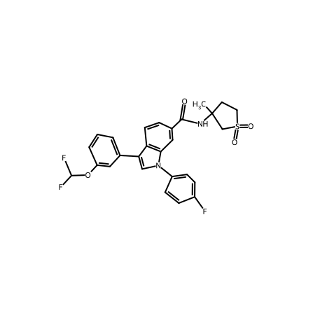 CC1(NC(=O)c2ccc3c(-c4cccc(OC(F)F)c4)cn(-c4ccc(F)cc4)c3c2)CCS(=O)(=O)C1